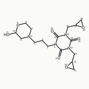 O=c1n(CCCN2CCOC(O)C2)c(=O)n(CC2CO2)c(=O)n1CC1CO1